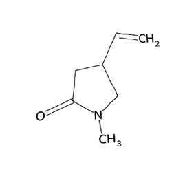 C=CC1CC(=O)N(C)C1